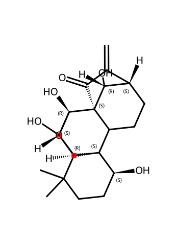 C=C1C(=O)[C@@]23C(CC[C@@H]1[C@H]2O)[C@@]12CO[C@@]3(O)[C@@H](O)[C@@H]1C(C)(C)CC[C@@H]2O